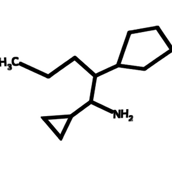 CCCC(C1CCCC1)C(N)C1CC1